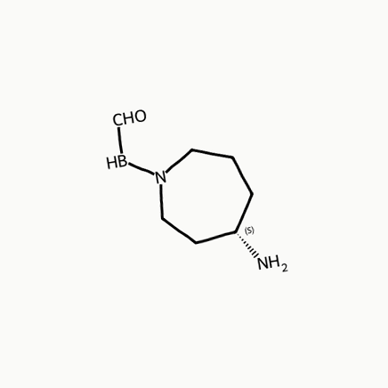 N[C@H]1CCCN(BC=O)CC1